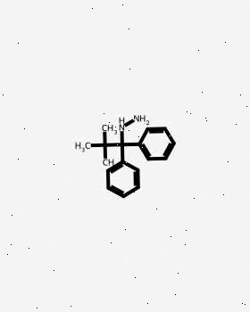 CC(C)(C)C(NN)(c1ccccc1)c1ccccc1